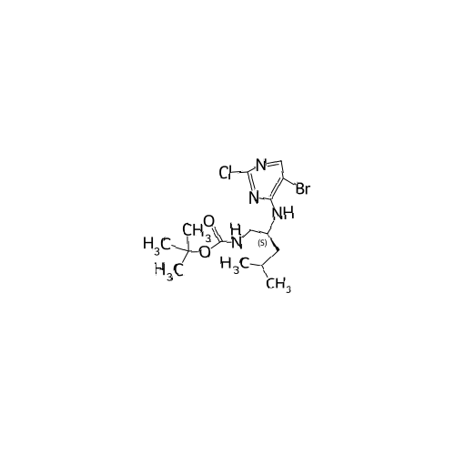 CC(C)C[C@@H](CNC(=O)OC(C)(C)C)Nc1nc(Cl)ncc1Br